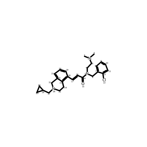 CN(C)CCN(Cc1ccccc1Cl)C(=O)C=Cc1cccc2c1CCN(CC1CC1)C2